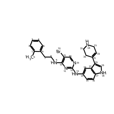 Cc1ccccc1CCNc1nc(Nc2ccc3[nH]cc(C4=CCNCC4)c3c2)ncc1Br